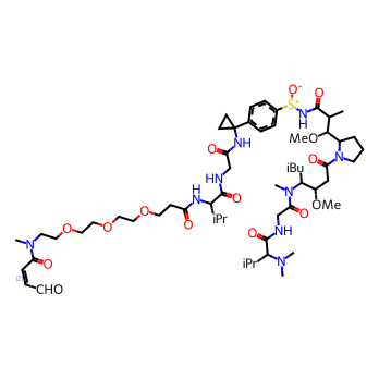 CCC(C)C(C(CC(=O)N1CCCC1C(OC)C(C)C(=O)N[S+]([O-])c1ccc(C2(NC(=O)CNC(=O)C(NC(=O)CCOCCOCCOCCN(C)C(=O)/C=C\C=O)C(C)C)CC2)cc1)OC)N(C)C(=O)CNC(=O)C(C(C)C)N(C)C